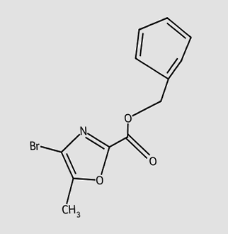 Cc1oc(C(=O)OCc2ccccc2)nc1Br